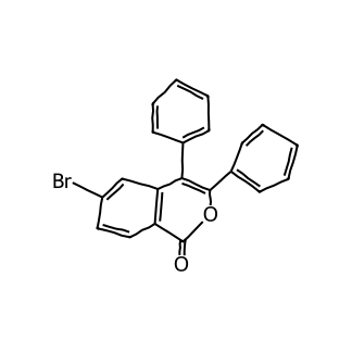 O=c1oc(-c2ccccc2)c(-c2ccccc2)c2cc(Br)ccc12